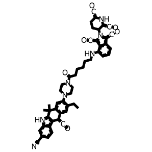 CCc1cc2c(cc1N1CCN(C(=O)CCCCCNc3cccc4c(=C=O)n(C5CCC(=C=O)NC5=C=O)c(=C=O)c34)CC1)C(C)(C)c1[nH]c3cc(C#N)ccc3c1C2=C=O